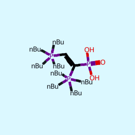 CCCCP(C=C(P(=O)(O)O)P(CCCC)(CCCC)(CCCC)CCCC)(CCCC)(CCCC)CCCC